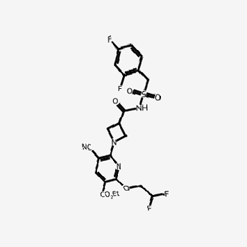 CCOC(=O)c1cc(C#N)c(N2CC(C(=O)NS(=O)(=O)Cc3ccc(F)cc3F)C2)nc1OCC(F)F